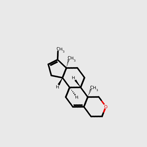 CC1=CC[C@H]2[C@@H]3CC=C4CCOC[C@]4(C)[C@H]3CC[C@]12C